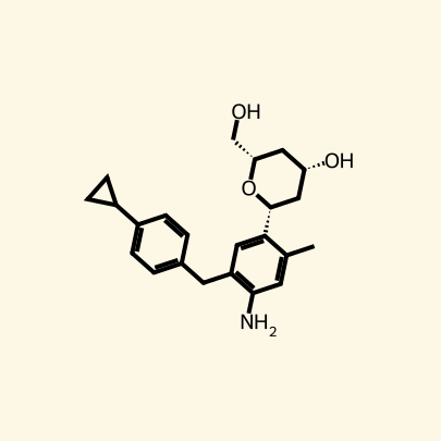 Cc1cc(N)c(Cc2ccc(C3CC3)cc2)cc1[C@H]1C[C@@H](O)C[C@@H](CO)O1